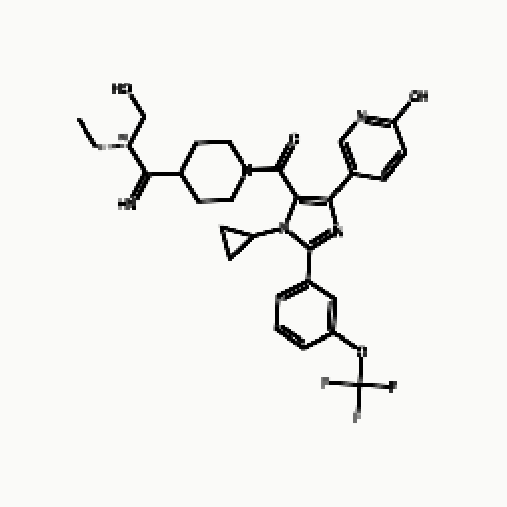 CC[C@H](CO)C(=N)C1CCN(C(=O)c2c(-c3ccc(O)nc3)nc(-c3cccc(OC(F)(F)F)c3)n2C2CC2)CC1